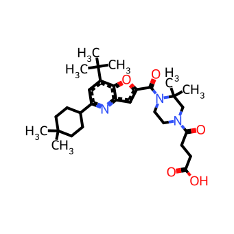 CC1(C)CCC(c2cc(C(C)(C)C)c3oc(C(=O)N4CCN(C(=O)CCC(=O)O)CC4(C)C)cc3n2)CC1